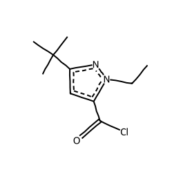 CCn1nc(C(C)(C)C)cc1C(=O)Cl